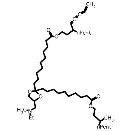 C=C=C=C=CC(CCCCC)CCOC(=O)CCCCCCCCCC1(CCCCCCCCCC(=O)OCCC(C)CCCCC)OCC(CN(C)CC)O1